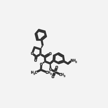 CC(C)O[C@H](C(=O)N1C(=O)OC[C@@H]1Cc1ccccc1)[C@H](OS(C)(=O)=O)c1cccc(CN)c1